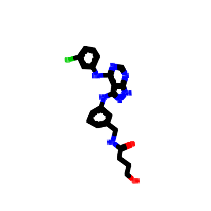 O=C(CCCO)NCc1cccc(Nc2n[nH]c3ncnc(Nc4cccc(Cl)c4)c23)c1